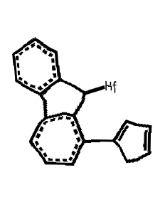 [Hf][CH]1c2ccccc2-c2cccc(C3=CC=CC3)c21